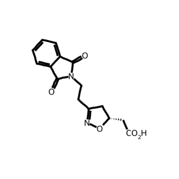 O=C(O)C[C@H]1CC(CCN2C(=O)c3ccccc3C2=O)=NO1